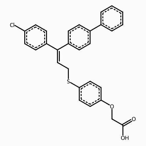 O=C(O)COc1ccc(SC/C=C(/c2ccc(Cl)cc2)c2ccc(-c3ccccc3)cc2)cc1